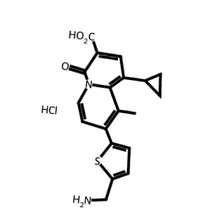 Cc1c(-c2ccc(CN)s2)ccn2c(=O)c(C(=O)O)cc(C3CC3)c12.Cl